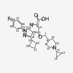 O=C(O)c1cc(OCC2CCN(C3CC3)CC2)c2c(C3CCC3)nn(-c3ccc(F)cc3)c2n1